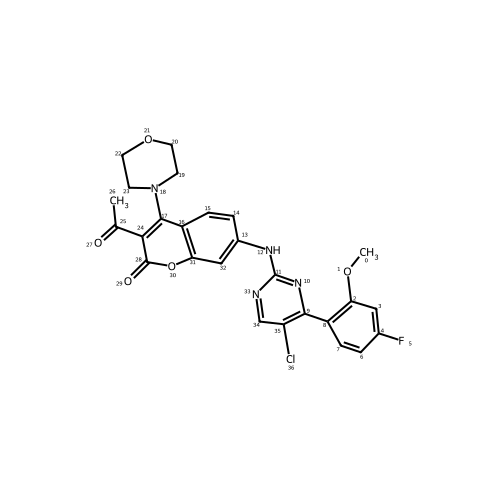 COc1cc(F)ccc1-c1nc(Nc2ccc3c(N4CCOCC4)c(C(C)=O)c(=O)oc3c2)ncc1Cl